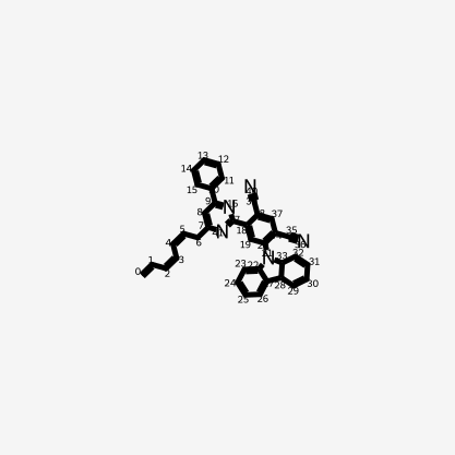 C=C/C=C\C=C/Cc1cc(-c2ccccc2)nc(-c2cc(N3c4ccccc4C4C=CC=CC43)c(C#N)cc2C#N)n1